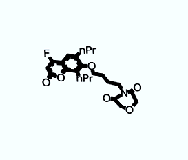 CCCc1cc2c(F)cc(=O)oc2c(CCC)c1OCCCCN1C(=O)COCC1=O